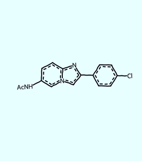 CC(=O)Nc1ccc2nc(-c3ccc(Cl)cc3)cn2c1